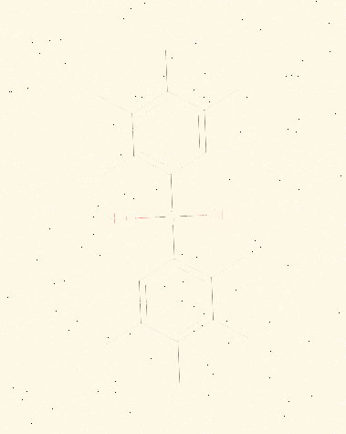 Cc1cc([Si](O)(O)c2cc(C)c(C)c(C)c2C)c(C)c(C)c1C